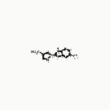 O=C(O)c1cnn(-c2nc3cc(C(F)(F)F)ccc3[nH]2)c1